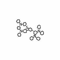 c1ccc(N(c2ccccc2)c2cccc(N(c3ccccc3)c3ccc4c(c3)sc3ccc(-c5cc(N(c6ccccc6)c6ccccc6)cc(N(c6ccccc6)c6ccccc6)c5)cc34)c2)cc1